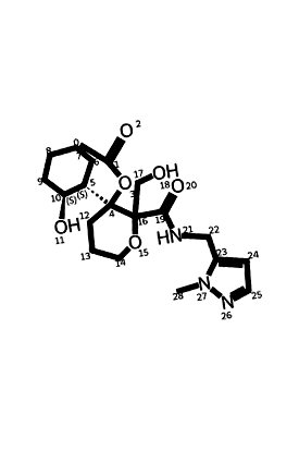 CC(=O)OC1([C@H]2CCCC[C@@H]2O)CCCOC1(CO)C(=O)NCc1ccnn1C